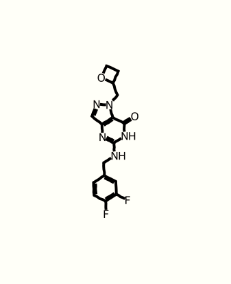 O=c1[nH]c(NCc2ccc(F)c(F)c2)nc2cnn(CC3CCO3)c12